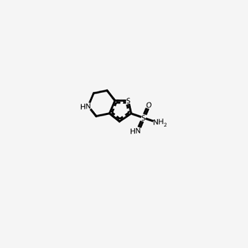 N=S(N)(=O)c1cc2c(s1)CCNC2